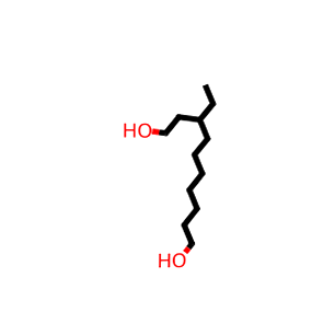 CCC(CCO)CCCCCCCO